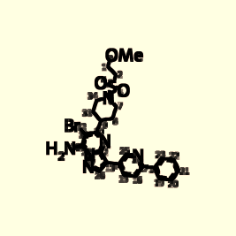 COCCS(=O)(=O)N1CCC(c2nc3c(-c4ccc(-c5ccccc5)nc4)cnn3c(N)c2Br)CC1